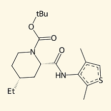 CC[C@@H]1CCN(C(=O)OC(C)(C)C)[C@H](C(=O)Nc2c(C)csc2C)C1